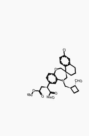 COC(=O)[C@@H](CC(=O)OC(C)(C)C)c1ccc2c(c1)N(C[C@@H]1CC[C@H]1C=O)C[C@@]1(CCCc3cc(Cl)ccc31)CO2